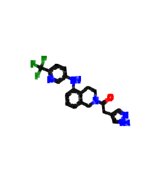 O=C(Cc1cn[nH]c1)N1CCc2c(cccc2Nc2ccc(C(F)(F)F)nc2)C1